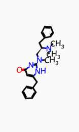 CN(C[C@@H](Cc1ccccc1)N(C)C)c1nc(=O)cc(Cc2ccccc2)[nH]1